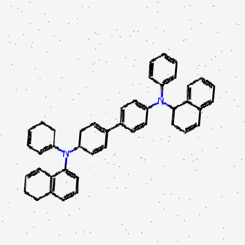 C1=CCCC(N(c2cccc3c2C=CCC3)C2C=CC(c3ccc(N(c4ccccc4)C4CC=Cc5ccccc54)cc3)=CC2)=C1